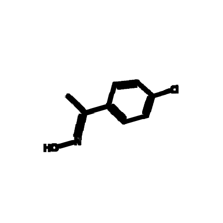 CC(=NO)c1ccc(Cl)cc1